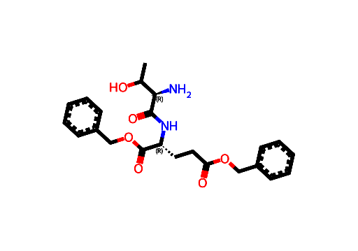 CC(O)[C@@H](N)C(=O)N[C@H](CCC(=O)OCc1ccccc1)C(=O)OCc1ccccc1